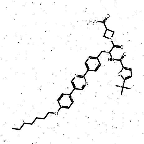 CCCCCCCOc1ccc(-c2cnc(-c3ccc(C[C@H](NC(=O)c4ccc(C(C)(C)C)s4)C(=O)N4CC(C(N)=O)C4)cc3)nc2)cc1